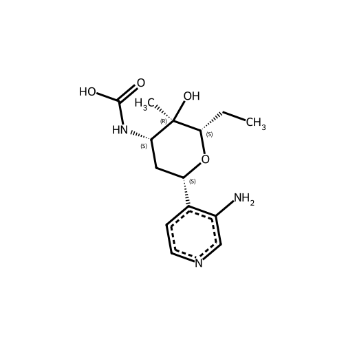 CC[C@@H]1O[C@H](c2ccncc2N)C[C@H](NC(=O)O)[C@@]1(C)O